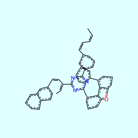 C/C=C\C=C/c1cccc(-c2nc(C(/C=C\c3ccc4ccccc4c3)=C/C)nc(-c3cccc4oc5cccc(-c6ccccc6)c5c34)n2)c1